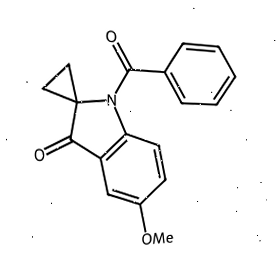 COc1ccc2c(c1)C(=O)C1(CC1)N2C(=O)c1ccccc1